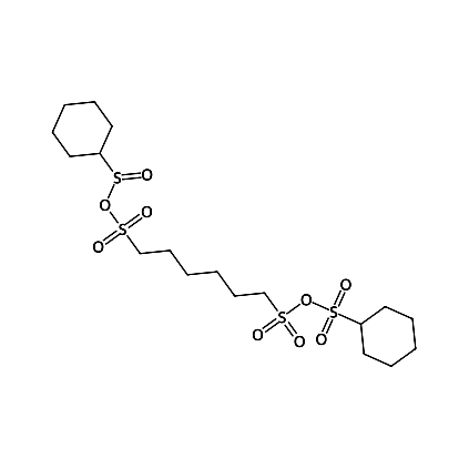 O=S(OS(=O)(=O)CCCCCCS(=O)(=O)OS(=O)(=O)C1CCCCC1)C1CCCCC1